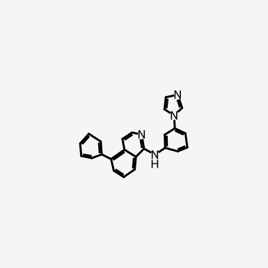 c1ccc(-c2cccc3c(Nc4cccc(-n5ccnc5)c4)nccc23)cc1